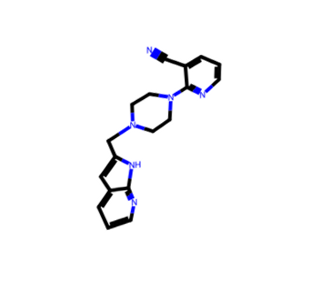 N#Cc1cccnc1N1CCN(Cc2cc3cccnc3[nH]2)CC1